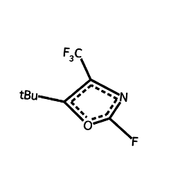 CC(C)(C)c1oc(F)nc1C(F)(F)F